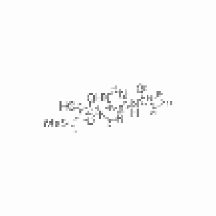 CSC[C@H]1O[C@@H](n2cnc3c(NC(=O)C4=CCC4)ncnc32)[C@H](O)[C@@H]1O